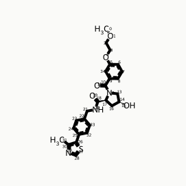 COCCOc1cccc(C(=O)N2C[C@H](O)C[C@H]2C(=O)NCc2ccc(-c3scnc3C)cc2)c1